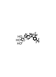 OC[C@H]1O[C@@H](n2cnc3c2ncn2c(-c4ccc(C(F)(F)F)cc4C(F)(F)F)nnc32)[C@H](O)[C@@H]1O